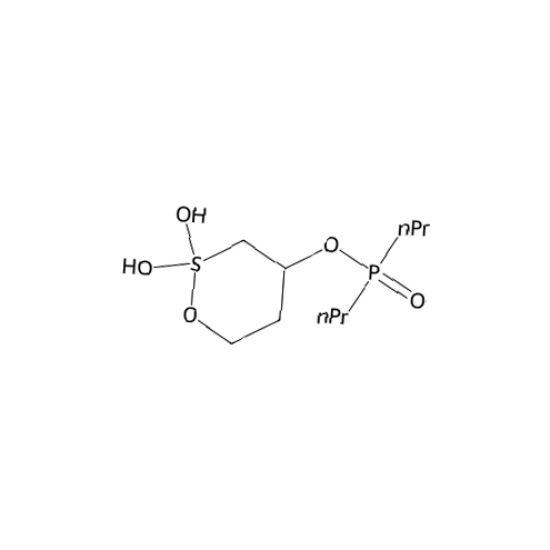 CCCP(=O)(CCC)OC1CCOS(O)(O)C1